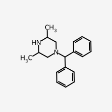 CC1CN(C(c2ccccc2)c2ccccc2)CC(C)N1